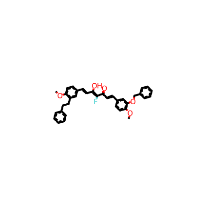 COc1ccc(/C=C/C(O)=C(\F)C(=O)/C=C/c2ccc(OC)c(OCc3ccccc3)c2)cc1CCc1ccccc1